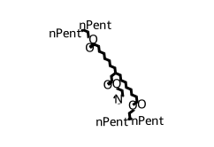 CCCCCC(CCCCC)CCOC(=O)CCCCCCCC(CCCCCCCC(=O)OCCC(CCCCC)CCCCC)CC(=O)OCCCN(C)C